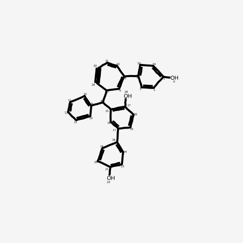 Oc1ccc(C2=CC(C(c3ccccc3)c3cc(-c4ccc(O)cc4)ccc3O)C#CC=C2)cc1